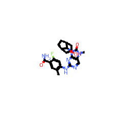 Cc1cc(C(N)=O)c(F)cc1Nc1ncc2c(n1)n(C1C3CCC1CC(O)C3)c(=O)n2C